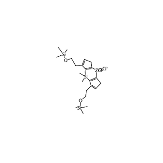 C[Si](C)(C)OCCC1=CC[C]2=C1[Si](C)(C)C1=[C](CC=C1CCO[Si](C)(C)C)[Zr+2]2.[Cl-].[Cl-]